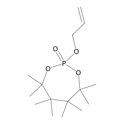 C=CCOP1(=O)OC(C)(C)C(C)(C)C(C)(C)C(C)(C)O1